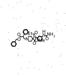 CCC(=O)N(c1cccc(NC(N)=O)c1)C1(C(=O)OC)CCN(CC(C(=O)OCc2ccccc2)c2ccccc2)CC1